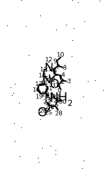 CC/C(C)=C\C1=C(C(C)CC)N(C)CCN(c2cccc(N(N)/C=C(/C=O)C(C)CC)c2)C1=O